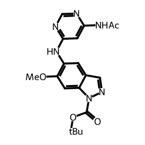 COc1cc2c(cnn2C(=O)OC(C)(C)C)cc1Nc1cc(NC(C)=O)ncn1